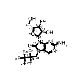 Nc1ncc2c(n1)n([C@@H]1O[C@H](CO)[C@@H](F)[C@H]1O)c(=O)n2CC(F)(F)C(F)(F)F